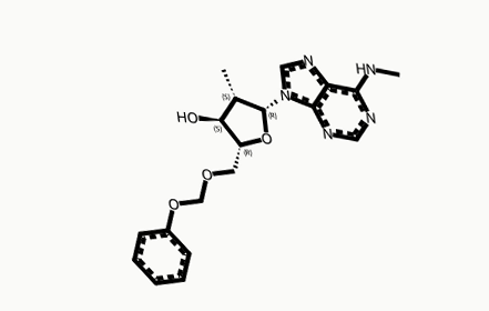 CNc1ncnc2c1ncn2[C@@H]1O[C@H](COCOc2ccccc2)[C@@H](O)[C@@H]1C